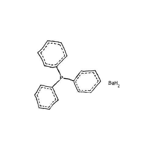 [BaH2].c1ccc(P(c2ccccc2)c2ccccc2)cc1